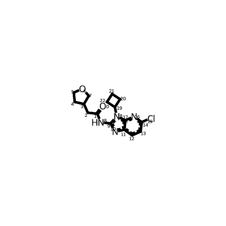 O=C(CC1CCOC1)Nc1nc2ccc(Cl)nc2n1C1CCC1